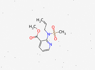 C=CCN(c1ncccc1C(=O)OC)S(C)(=O)=O